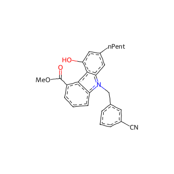 CCCCCc1cc(O)c2c3c(C(=O)OC)cccc3n(Cc3cccc(C#N)c3)c2c1